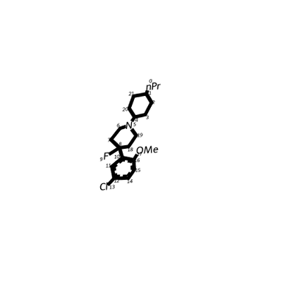 CCCC1CCC(N2CCC(F)(c3cc(Cl)ccc3OC)CC2)CC1